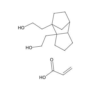 C=CC(=O)O.OCCC12CCC(C1)C1CCCC12CCO